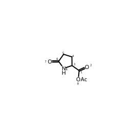 CC(=O)OC(=O)C1CCC(=O)N1